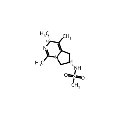 CC1=N[C@H](C)C(C)=C2C[C@H](NS(C)(=O)=O)CN12